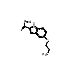 CCCC(C)C(=O)c1cc2cc(OCCNC)ccc2[nH]1